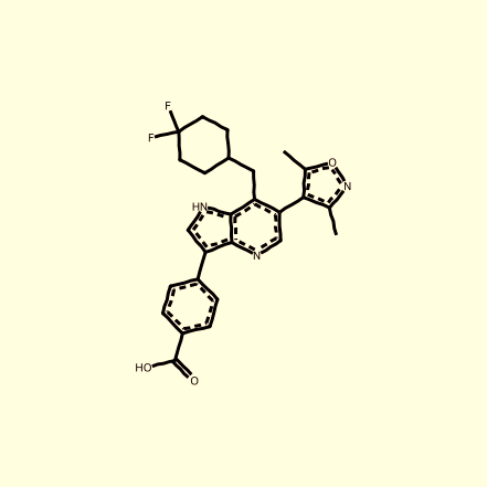 Cc1noc(C)c1-c1cnc2c(-c3ccc(C(=O)O)cc3)c[nH]c2c1CC1CCC(F)(F)CC1